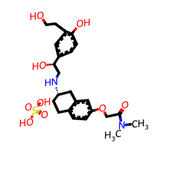 CN(C)C(=O)COc1ccc2c(c1)C[C@@H](NC[C@@H](O)c1ccc(O)c(CCO)c1)CC2.O=S(=O)(O)O